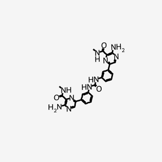 CNC(=O)c1nc(-c2cccc(NC(=O)Nc3cccc(-c4cnc(N)c(C(=O)NC)n4)c3)c2)cnc1N